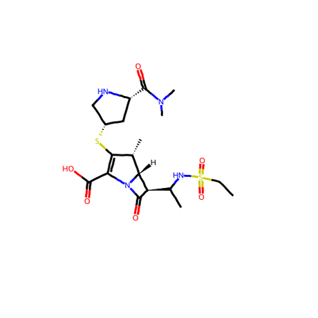 CCS(=O)(=O)NC(C)[C@H]1C(=O)N2C(C(=O)O)=C(S[C@@H]3CN[C@H](C(=O)N(C)C)C3)[C@H](C)[C@H]12